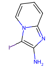 Nc1nc2ccccn2c1I